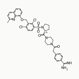 Cc1ccc2cccc(OCc3c(Cl)ccc(S(=O)(=O)N4CCC[C@H]4C(=O)N4CCN(C(=O)Cc5ccc(C(=N)N)cc5)CC4)c3Cl)c2n1